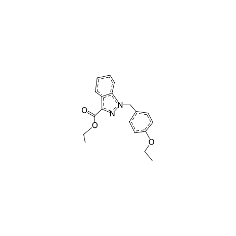 CCOC(=O)c1nn(Cc2ccc(OCC)cc2)c2ccccc12